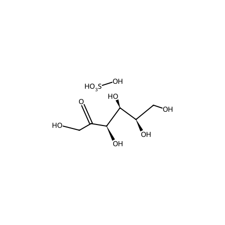 O=C(CO)[C@H](O)[C@@H](O)[C@H](O)CO.O=S(=O)(O)O